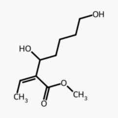 CC=C(C(=O)OC)C(O)CCCCO